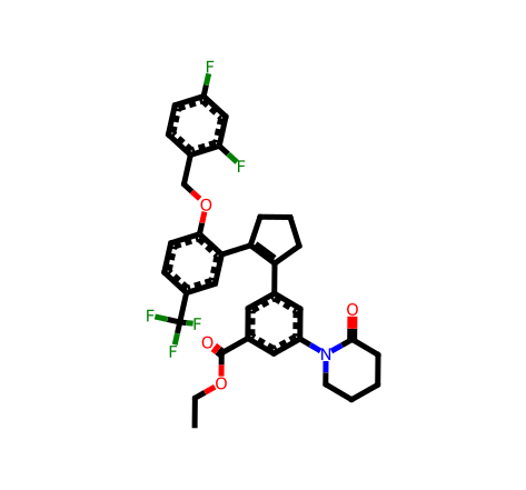 CCOC(=O)c1cc(C2=C(c3cc(C(F)(F)F)ccc3OCc3ccc(F)cc3F)CCC2)cc(N2CCCCC2=O)c1